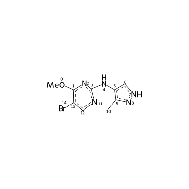 COc1nc(Nc2c[nH]nc2C)ncc1Br